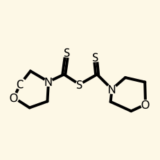 S=C(SC(=S)N1CCOCC1)N1CCOCC1